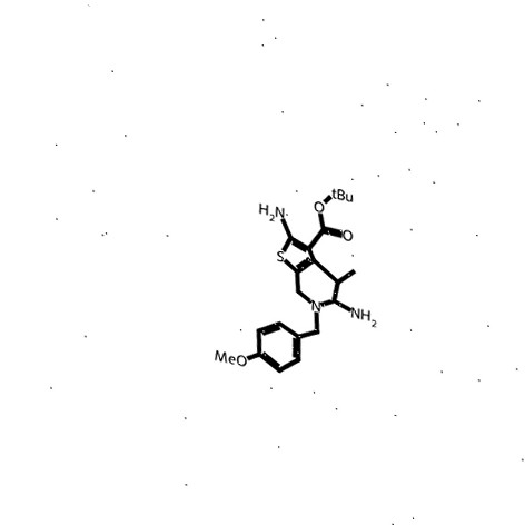 COc1ccc(CN2Cc3sc(N)c(C(=O)OC(C)(C)C)c3C(C)C2N)cc1